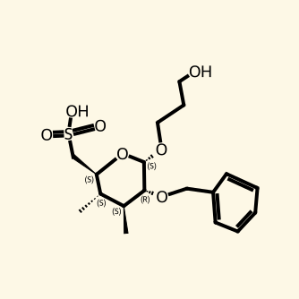 C[C@H]1[C@H](C)[C@@H](CS(=O)(=O)O)O[C@H](OCCCO)[C@@H]1OCc1ccccc1